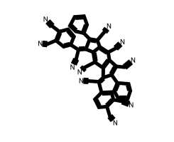 N#CC1=C(c2ccccc2)/C(=C(/C#N)c2ccc(C#N)c(C#N)c2)c2c(C#N)c3c(c(C#N)c21)C(C#N)=C(c1ccccc1)/C3=C(/C#N)c1ccc(C#N)c(C#N)c1